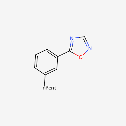 CCCCCc1cccc(-c2n[c]no2)c1